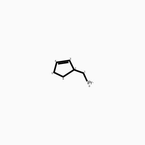 C[C](C)CC1C=CCC1